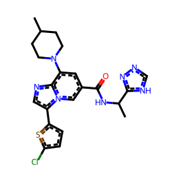 CC1CCN(c2cc(C(=O)NC(C)c3nnc[nH]3)cn3c(-c4ccc(Cl)s4)cnc23)CC1